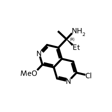 CC[C@@](C)(N)c1cnc(OC)c2cnc(Cl)cc12